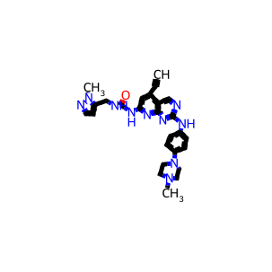 C#Cc1cc(NC(=O)NCc2ccnn2C)nc2nc(Nc3ccc(N4CCN(C)CC4)cc3)ncc12